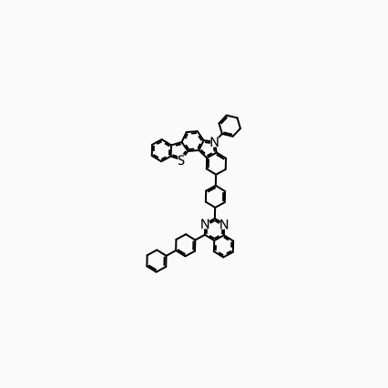 C1=CCCC(C2=CC=C(c3nc(C4C=CC(C5C=c6c(n(C7=CCCC=C7)c7ccc8c9ccccc9sc8c67)=CC5)=CC4)nc4ccccc34)CC2)=C1